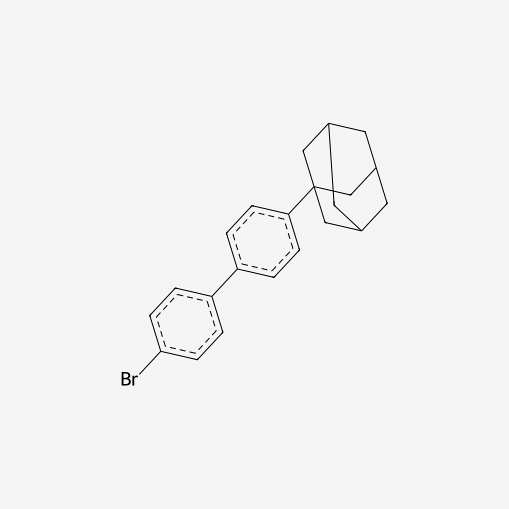 Brc1ccc(-c2ccc(C34CC5CC(CC(C5)C3)C4)cc2)cc1